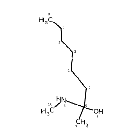 CCCCCCC(C)(O)NC